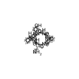 CC(C)[C@@H]1NC(=O)[C@H](CCCCN)NC(=O)[C@H](Cc2c[nH]c3ccccc23)NC(=O)[C@H](Cc2ccc(O)cc2)NC(=O)[C@H](C)NC(=O)[C@H](Cc2ccccc2)NC1=O